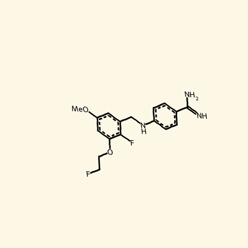 COc1cc(CNc2ccc(C(=N)N)cc2)c(F)c(OCCF)c1